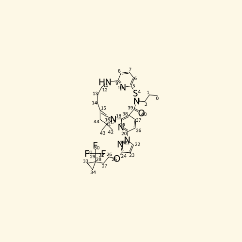 CCCN1Sc2cccc(n2)NCCCC2=CN(c3nc(-n4ccc(OCCC5(C(F)(F)F)CC5)n4)ccc3C1=O)C(C)(C)C2